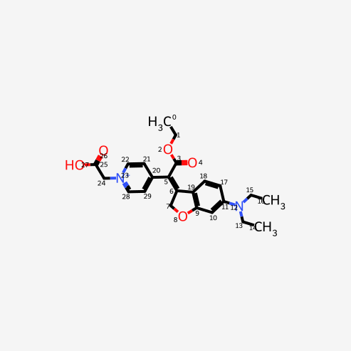 CCOC(=O)/C(=C1/COc2cc(N(CC)CC)ccc21)c1cc[n+](CC(=O)O)cc1